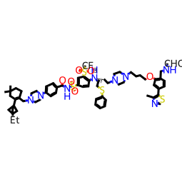 CCC12CC(C3=C(CN4CCN(c5ccc(C(=O)NS(=O)(=O)c6ccc(N[C@H](CCN7CCN(CCCCOc8cc(-c9scnc9C)ccc8CNC=O)CC7)CSc7ccccc7)c(S(=O)(=O)C(F)(F)F)c6)cc5)CC4)CCC(C)(C)C3)(C1)C2